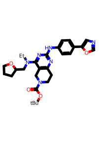 CCN(CC1CCCO1)c1nc(Nc2ccc(-c3cnco3)cc2)nc2c1CN(C(=O)OC(C)(C)C)CC2